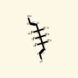 FC(F)(/C=C/I)C(F)(F)C(F)(F)/C=C/I